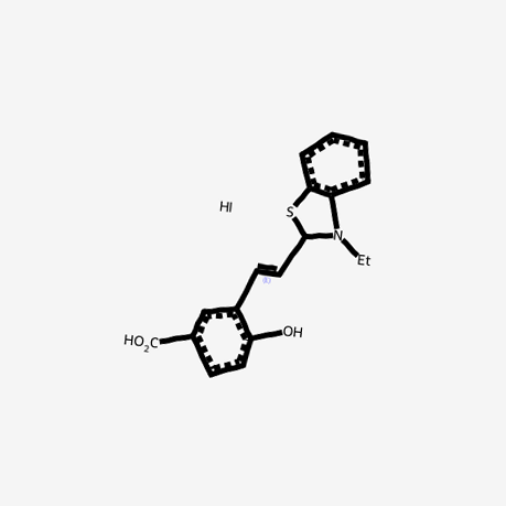 CCN1c2ccccc2SC1/C=C/c1cc(C(=O)O)ccc1O.I